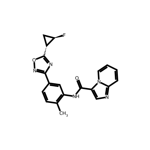 Cc1ccc(-c2noc([C@@H]3C[C@H]3F)n2)cc1NC(=O)c1cnc2ccccn12